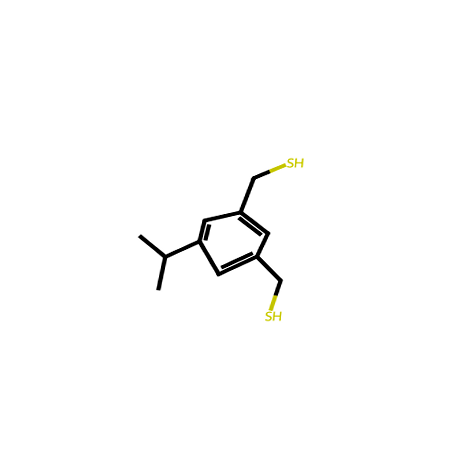 CC(C)c1cc(CS)cc(CS)c1